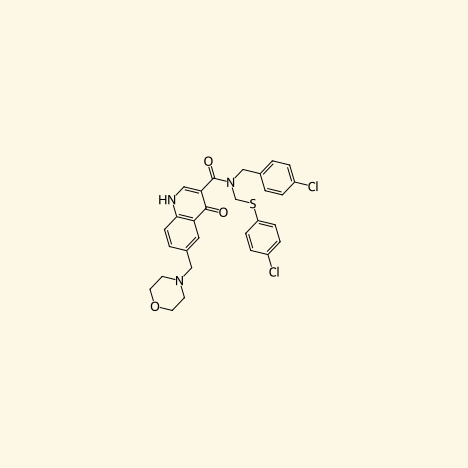 O=C(c1c[nH]c2ccc(CN3CCOCC3)cc2c1=O)N(CSc1ccc(Cl)cc1)Cc1ccc(Cl)cc1